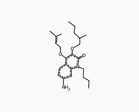 CCCCn1c(=O)c(OCC(C)CCC)c(OCC=C(C)C)c2ccc(N)cc21